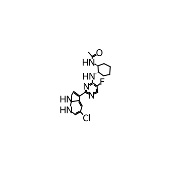 CC(=O)N[C@H]1CCCC[C@@H]1Nc1nc(C2=CNC3NC=C(Cl)C=C23)ncc1F